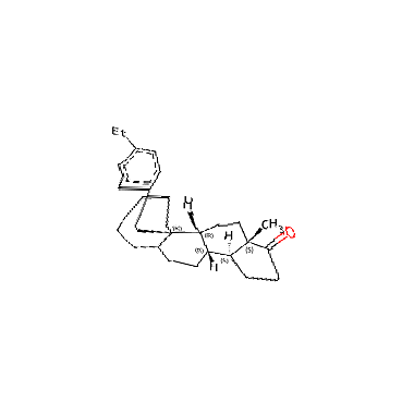 CCc1ccc(C[C@]23CCCCC2CC[C@@H]2[C@H]3CC[C@]3(C)C(=O)CC[C@@H]23)cc1